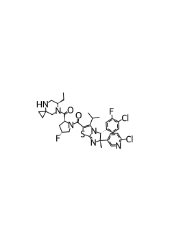 CC[C@@H]1CNC2(CC2)CN1C(=O)[C@@H]1C[C@@H](F)CN1C(=O)C1=C(C(C)C)N2C(=N[C@@](C)(c3ccc(Cl)nc3)[C@H]2c2ccc(Cl)c(F)c2)S1